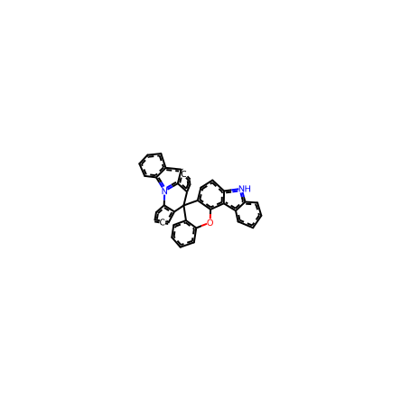 c1ccc2c(c1)Oc1c(ccc3[nH]c4ccccc4c13)C21c2ccccc2-n2c3ccccc3c3cccc1c32